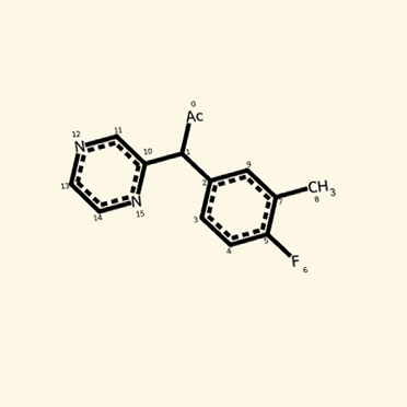 CC(=O)C(c1ccc(F)c(C)c1)c1cnccn1